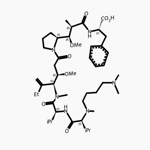 C=C(CC)[C@@H]([C@@H](CC(=O)N1CCC[C@H]1[C@H](OC)[C@@H](C)C(=O)N[C@@H](Cc1ccccc1)C(=O)O)OC)N(C)C(=O)[C@@H](NC(=O)[C@H](C(C)C)N(C)CCCCN(C)C)C(C)C